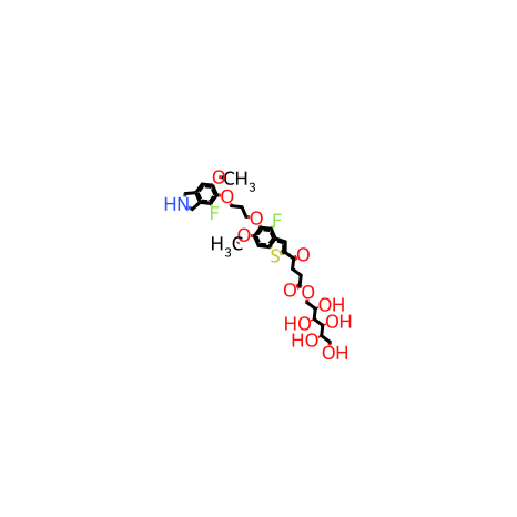 COc1cc2c(c(F)c1OCCCOc1c(OC)cc3sc(C(=O)CCC(=O)OC[C@@H](O)[C@@H](O)[C@H](O)[C@H](O)CO)cc3c1F)CNC2